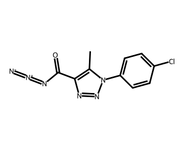 Cc1c(C(=O)N=[N+]=[N-])nnn1-c1ccc(Cl)cc1